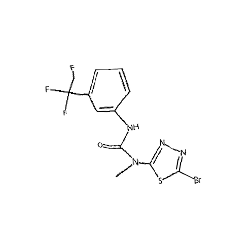 CN(C(=O)Nc1cccc(C(F)(F)F)c1)c1nnc(Br)s1